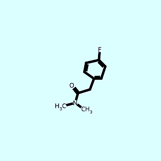 CN(C)C(=O)Cc1ccc(F)cc1